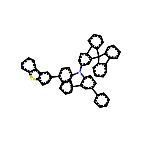 c1ccc(-c2ccc(N(c3ccc(-c4ccc5sc6ccccc6c5c4)cc3)c3ccc4c(c3)C3(c5ccccc5-c5ccccc53)c3ccccc3-4)c(-c3ccccc3)c2)cc1